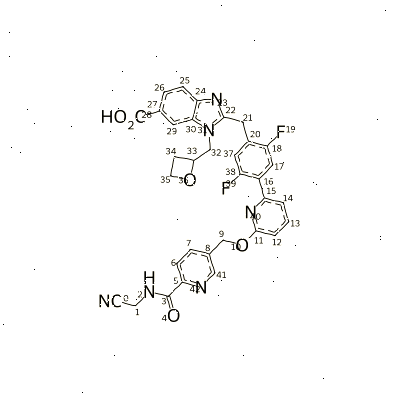 N#CCNC(=O)c1ccc(COc2cccc(-c3cc(F)c(Cc4nc5ccc(C(=O)O)cc5n4CC4CCO4)cc3F)n2)cn1